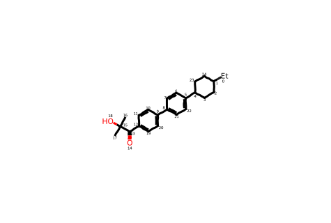 CCC1CCC(c2ccc(-c3ccc(C(=O)C(C)(C)O)cc3)cc2)CC1